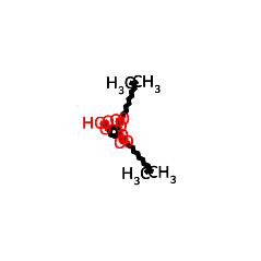 CC(C)CCCCCCCCOC(=O)OC1CCC(OC(=O)O)CC1OC(=O)OCCCCCCCCC(C)C